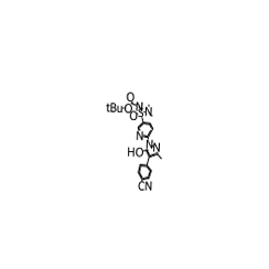 Cc1nn(-c2ccc(S(=O)(=NC(=O)OC(C)(C)C)N(C)C)cn2)c(O)c1-c1ccc(C#N)cc1